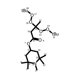 CN1C(C)(C)CC(OC(=O)CC(C)(OOC(C)(C)C)OOC(C)(C)C)CC1(C)C